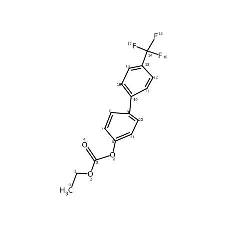 CCOC(=O)Oc1ccc(-c2ccc(C(F)(F)F)cc2)cc1